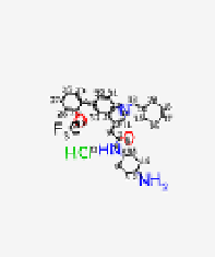 Cl.NC1CCC(NC(=O)Cc2cn(CC3CCCCC3)c3ccc(-c4ccccc4OC(F)(F)F)cc23)CC1